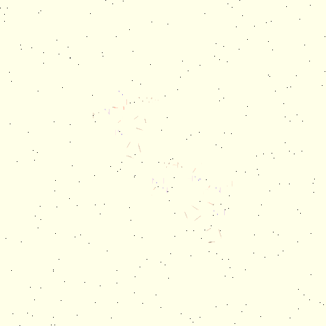 CN[C@@H](C)C(=O)N[C@H]1CCCC[C@H]2CC[C@@H](C(=O)N[C@H](c3ccccc3)c3ccc(CCCNC(=S)NCCCc4ccc([C@@H](NC(=O)[C@@H]5CC[C@@H]6CCCC[C@H](NC(=O)[C@@H](C)NC)C(=O)N65)c5ccccc5)cc4)cc3)N2C1=O